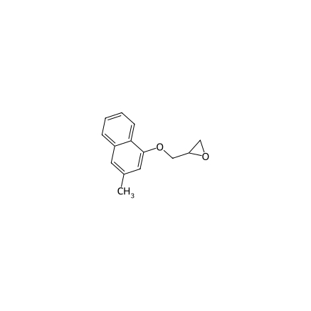 Cc1cc(OCC2CO2)c2ccccc2c1